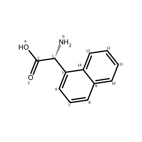 N[C@@H](C(=O)O)c1cccc2ccccc12